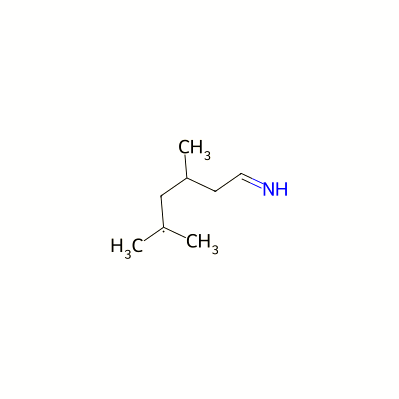 C[C](C)CC(C)CC=N